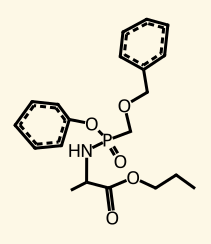 CCCOC(=O)C(C)NP(=O)(COCc1ccccc1)Oc1ccccc1